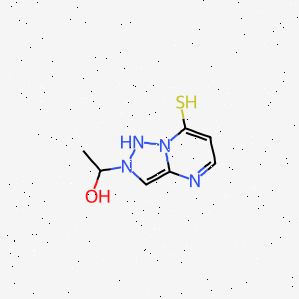 CC(O)N1C=C2N=CC=C(S)N2N1